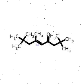 C/C(=C\C(=O)CC(C)(C)C)CC(C)(C)C